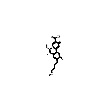 CC[C@H]1[C@@H](C)c2cc(CCCCOC)c(Cl)cc2-c2cc(=O)c(C(=O)O)cn21